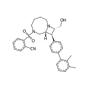 Cc1cccc(-c2ccc([C@@H]3[C@@H](CO)N4CCCCN(S(=O)(=O)c5ccccc5C#N)C[C@@H]34)cc2)c1C